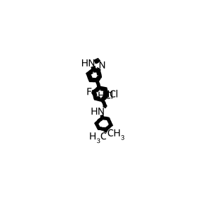 CC1(C)CCC(NCc2ccc(-c3ccc4[nH]cnc4c3)c(F)c2)CC1.Cl.Cl